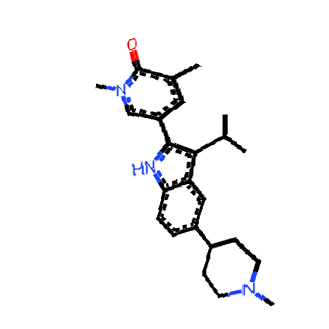 Cc1cc(-c2[nH]c3ccc(C4CCN(C)CC4)cc3c2C(C)C)cn(C)c1=O